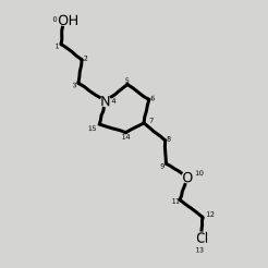 OCCCN1CCC(CCOCCCl)CC1